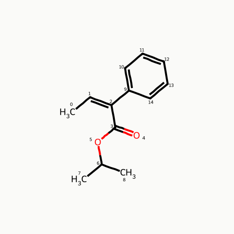 C/C=C(\C(=O)OC(C)C)c1ccccc1